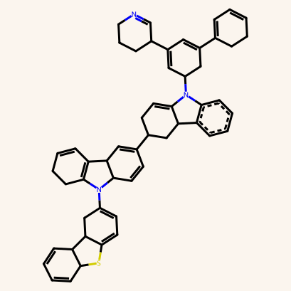 C1=CCCC(C2=CC(C3C=NCCC3)=CC(N3C4=CCC(C5=CC6C7=C(CCC=C7)N(C7=CC=C8SC9C=CC=CC9C8C7)C6C=C5)CC4c4ccccc43)C2)=C1